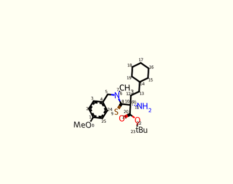 COc1ccc(CN(C)C(=S)[C@@](N)(CCC2CCCCC2)C(=O)OC(C)(C)C)cc1